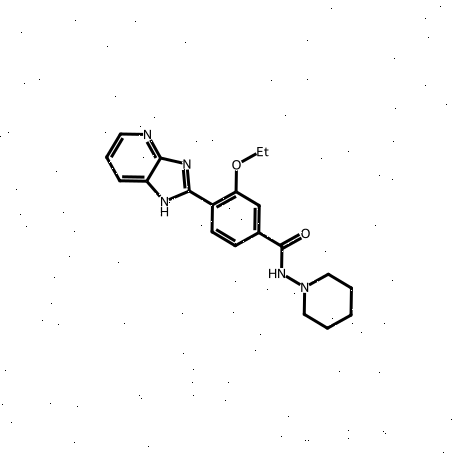 CCOc1cc(C(=O)NN2CCCCC2)ccc1-c1nc2ncccc2[nH]1